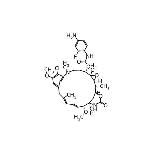 COc1cc2cc(c1Cl)N(C)CC[C@H](OC(=O)Nc1ccc(N)cc1F)[C@]1(C)O[C@H]1[C@H](C)[C@@H]1C[C@@](O)(NC(=O)O1)[C@H](OC)/C=C/C=C(\C)C2